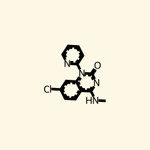 CNc1nc(=O)n(-c2ccccn2)c2cc(Cl)ccc12